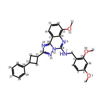 COc1ccc(CNc2nc3c(OC)cccc3c3nc(C4CC(c5ccccc5)C4)nn23)c(OC)c1